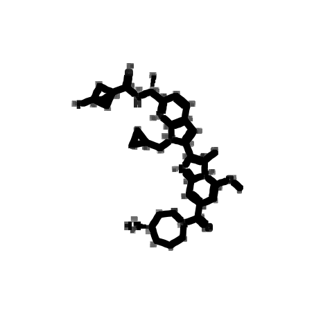 COc1cc(C(=O)N2CCC[C@H](N)CC2)cc2nc(-c3cc4ccc([C@@H](C)NC(=O)C56CC(F)(C5)C6)nc4n3CC3CC3)c(C)n12